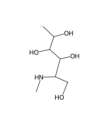 [CH2]C(O)C(O)C(O)C(CO)NC